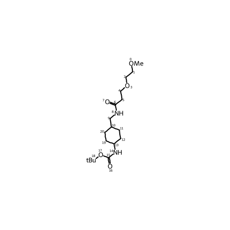 COCCOCCC(=O)NCC1CCC(NC(=O)OC(C)(C)C)CC1